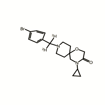 [2H]C([2H])(c1ccc(Br)cc1)N1CCC2(CC1)CN(C1CC1)C(=O)CO2